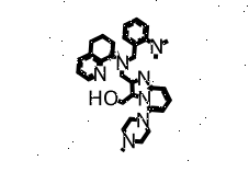 CN1CCN(C2=CC=CC3=NC(CN(Cc4ccccc4N(C)C)[C@H]4CCCc5cccnc54)C(CO)N23)CC1